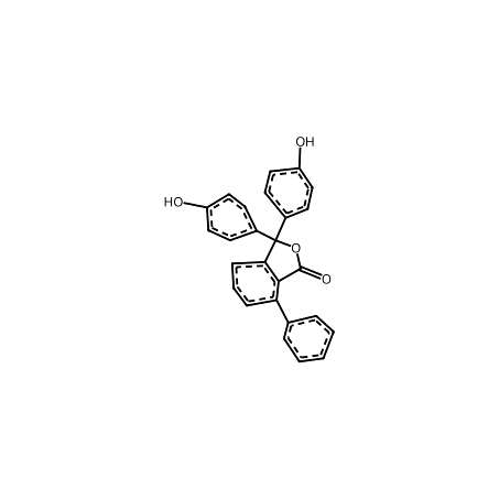 O=C1OC(c2ccc(O)cc2)(c2ccc(O)cc2)c2cccc(-c3ccccc3)c21